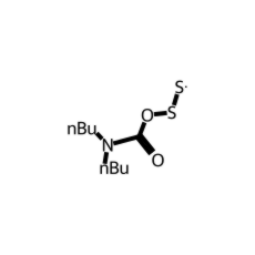 CCCCN(CCCC)C(=O)OS[S]